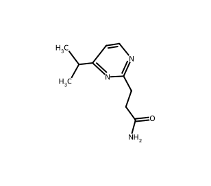 CC(C)c1ccnc(CCC(N)=O)n1